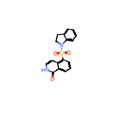 O=c1[nH]ccc2c(S(=O)(=O)N3CCc4ccccc43)cccc12